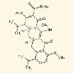 CCCCOc1ccc(N(C)C)c2c1C(=O)C1=C(O)[C@]3(OC(C)=O)C(=O)C(C(=O)NC(C)=O)=C(OC(C)=O)C(N(C)C)[C@@H]3C[C@@H]1C2